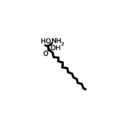 CCCCCCCCCCCCCCCC(=O)C(C)C(N)(O)O